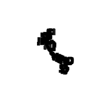 O=C(c1cccs1)N1CCN(Cc2cccc(Nc3ncc(Cl)s3)n2)CC1